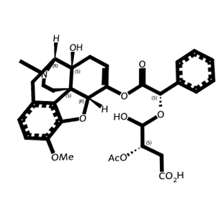 COc1ccc2c3c1O[C@H]1C(OC(=O)[C@@H](OC(O)[C@H](CC(=O)O)OC(C)=O)c4ccccc4)=CC[C@@]4(O)[C@@H](C2)N(C)CC[C@]314